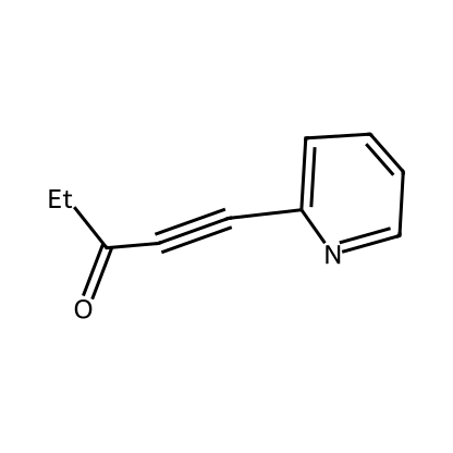 CCC(=O)C#Cc1ccccn1